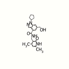 Cc1cc(C)c(CNC(=O)c2cc(CO)cc3c2cnn3C2CCCC2)c(=O)[nH]1